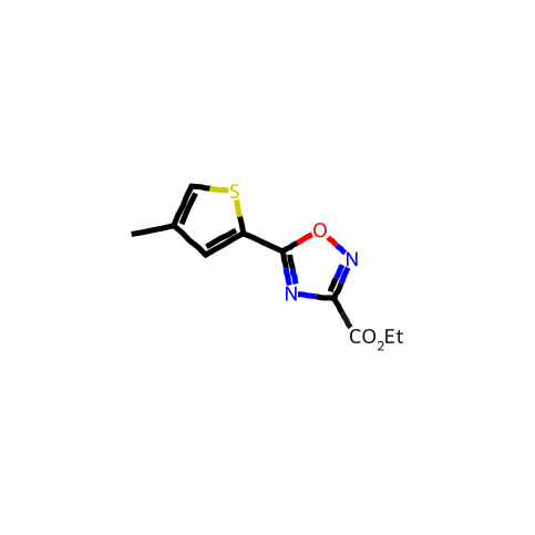 CCOC(=O)c1noc(-c2cc(C)cs2)n1